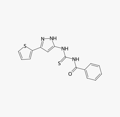 O=C(NC(=S)Nc1cc(-c2cccs2)n[nH]1)c1ccccc1